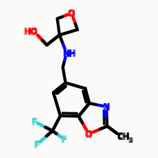 Cc1nc2cc(CNC3(CO)COC3)cc(C(F)(F)F)c2o1